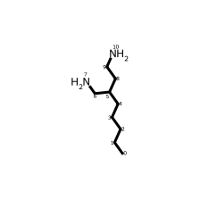 CCCCCC(CN)CCN